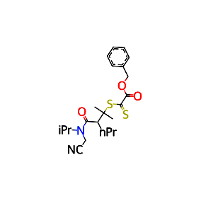 CCCC(C(=O)N(CC#N)C(C)C)C(C)(C)SC(=S)C(=O)OCc1ccccc1